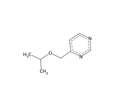 CC(C)OCc1ccncn1